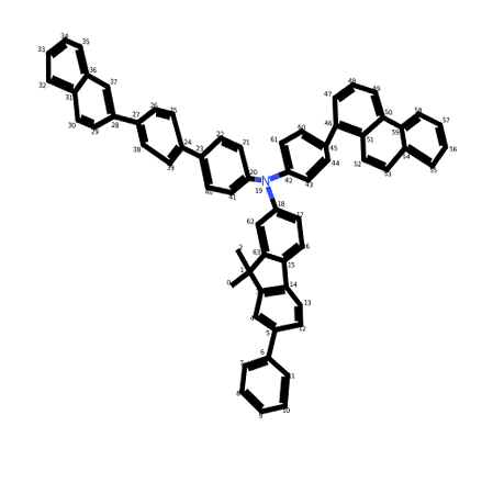 CC1(C)c2cc(-c3ccccc3)ccc2-c2ccc(N(c3ccc(-c4ccc(-c5ccc6ccccc6c5)cc4)cc3)c3ccc(-c4cccc5c4ccc4ccccc45)cc3)cc21